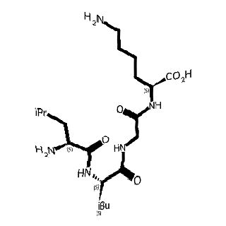 CC[C@H](C)[C@H](NC(=O)[C@@H](N)CC(C)C)C(=O)NCC(=O)N[C@@H](CCCCN)C(=O)O